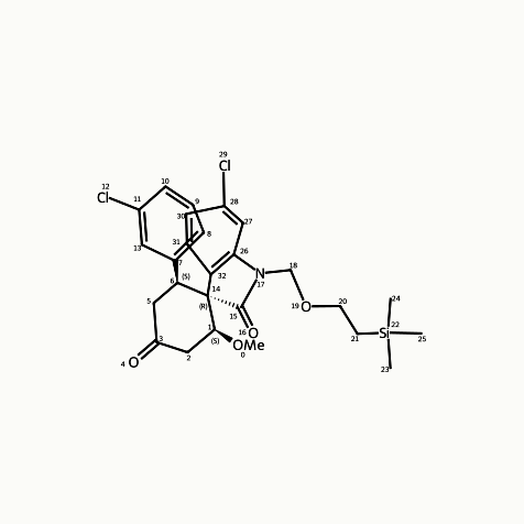 CO[C@H]1CC(=O)C[C@@H](c2cccc(Cl)c2)[C@]12C(=O)N(COCC[Si](C)(C)C)c1cc(Cl)ccc12